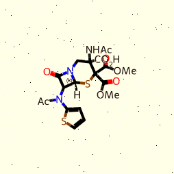 COC(=O)C1(C(=O)OC)S[C@@H]2C(N(C(C)=O)c3cccs3)C(=O)N2CC1(NC(C)=O)C(=O)O